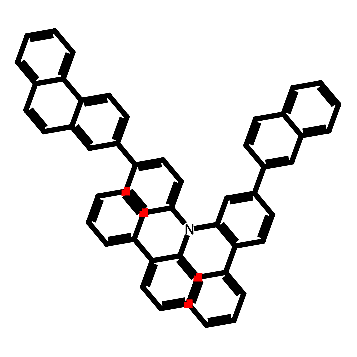 c1ccc(-c2ccccc2N(c2ccc(-c3ccc4c(ccc5ccccc54)c3)cc2)c2cc(-c3ccc4ccccc4c3)ccc2-c2ccccc2)cc1